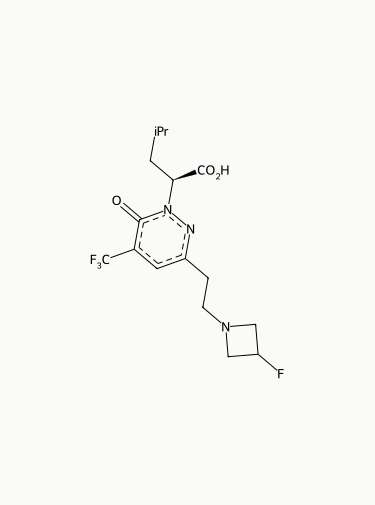 CC(C)C[C@@H](C(=O)O)n1nc(CCN2CC(F)C2)cc(C(F)(F)F)c1=O